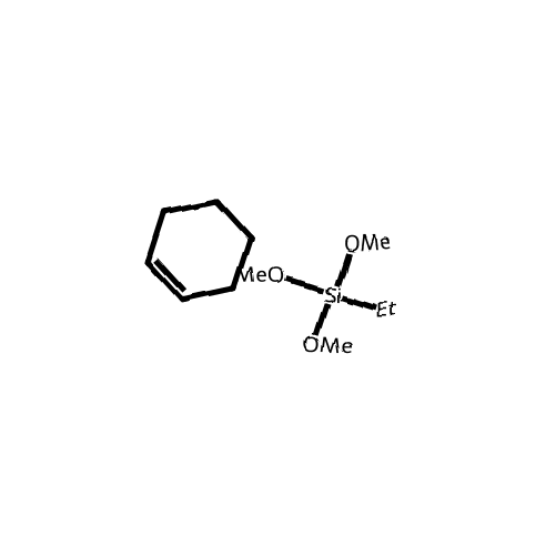 C1=CCCCC1.CC[Si](OC)(OC)OC